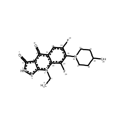 CCn1c2s[nH]c(=O)c2c(=O)c2cc(F)c(N3CCC(O)CC3)c(F)c21